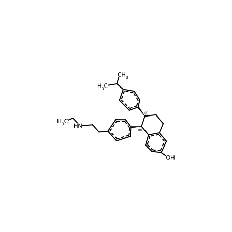 CCNCCc1ccc([C@@H]2c3ccc(O)cc3CC[C@@H]2c2ccc(C(C)C)cc2)cc1